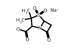 CC1(C)C(C(=O)[O-])N2C(=O)CC2S1(=O)=O.[Na+]